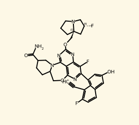 C#Cc1c(F)ccc2cc(O)cc(-c3nc4c5c(nc(OC[C@@]67CCCN6C[C@H](F)C7)nc5c3F)N3CC(C(N)=O)CCC3CO4)c12